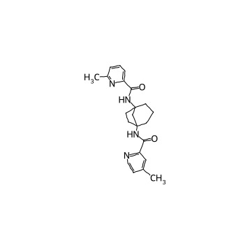 Cc1ccnc(C(=O)NC23CCCC(NC(=O)c4cccc(C)n4)(CC2)C3)c1